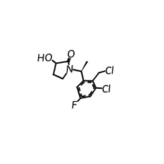 C[C@@H](c1cc(F)cc(Cl)c1CCl)N1CCC(O)C1=O